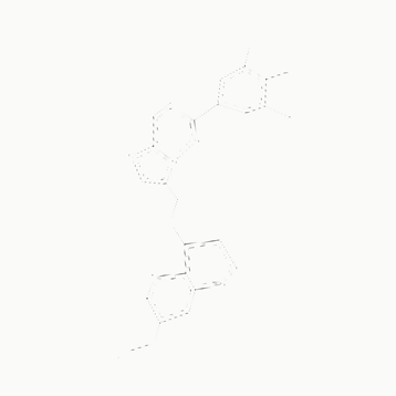 COc1cnc2c(OCc3cnc4ccc(-c5cc(F)c(F)c(F)c5)nn34)ccnc2c1